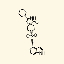 O=C1NC(C2CCCCC2)=NC12CCN(S(=O)(=O)C#Cc1cccc3[nH]ccc13)CC2